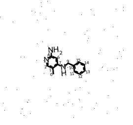 Cc1cnc(N)cc1NCc1ccccc1